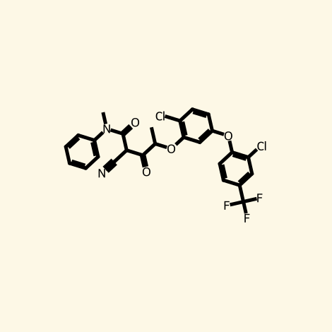 CC(Oc1cc(Oc2ccc(C(F)(F)F)cc2Cl)ccc1Cl)C(=O)C(C#N)C(=O)N(C)c1ccccc1